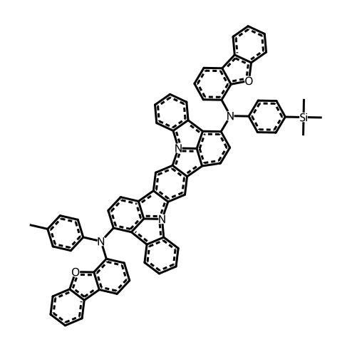 Cc1ccc(N(c2cccc3c2oc2ccccc23)c2ccc3c4cc5c(cc4n4c6ccccc6c2c34)c2ccc(N(c3ccc([Si](C)(C)C)cc3)c3cccc4c3oc3ccccc34)c3c4ccccc4n5c23)cc1